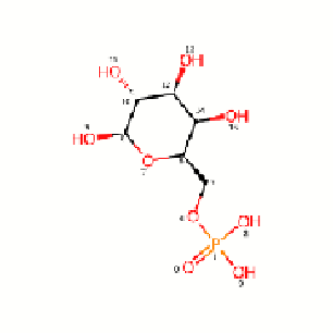 O=P(O)(O)OC[C@H]1O[C@@H](O)[C@H](O)[C@@H](O)[C@H]1O